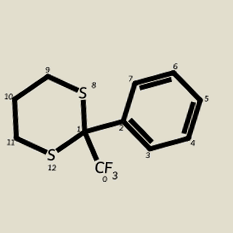 FC(F)(F)C1(c2ccccc2)SCCCS1